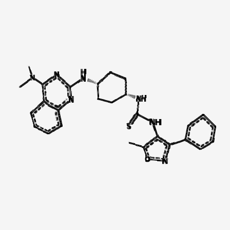 Cc1onc(-c2ccccc2)c1NC(=S)N[C@H]1CC[C@@H](Nc2nc(N(C)C)c3ccccc3n2)CC1